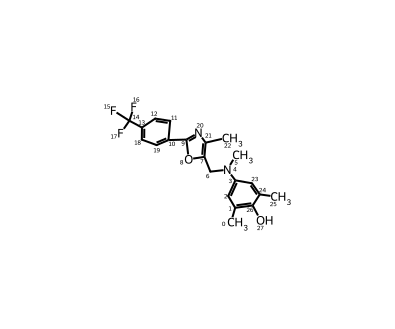 Cc1cc(N(C)Cc2oc(-c3ccc(C(F)(F)F)cc3)nc2C)cc(C)c1O